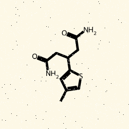 Cc1csc(C(CC(N)=O)CC(N)=O)c1